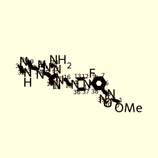 COCc1nc(-c2ccc(F)c(N3CCN(CCn4ncc5c4nc(N)n4nc(C6=C=NC=CN6)nc54)CC3)c2)no1